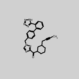 CC#CCC1CCCC(C(=O)c2ncn(Cc3ccc(-c4ccccc4-c4nnn[nH]4)cc3)n2)C1